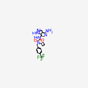 Nc1ncc(NC(=O)C(=O)N(Cc2ccc(C(F)(F)F)cc2)C2CCC2)c2[nH]ncc12